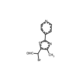 Cc1nc(-c2ccncc2)sc1C(Br)C=O